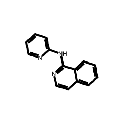 c1ccc(Nc2nccc3ccccc23)nc1